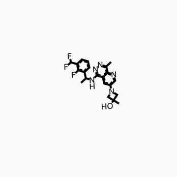 Cc1nnc(NC(C)c2cccc(C(F)F)c2F)c2cc(N3CC(C)(O)C3)cnc12